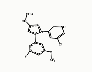 O=CNc1cc(-c2cc(F)cc(OC(F)(F)F)c2)n(C2=CC(Cl)=CNC2)n1